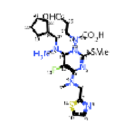 CSC1=NC(N(C)Cc2nccs2)=C(F)C(N(N)CC2CCCC2)N1N(CCC=O)C(=O)O